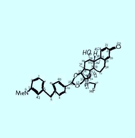 CNc1cccc(Cc2ccc([C@@H]3O[C@@H]4CC5[C@@H]6CCC7=CC(=O)C=C[C@]7(C)[C@H]6[C@@H](O)C[C@]5(C)[C@]4(C(=O)SCF)O3)cc2)c1